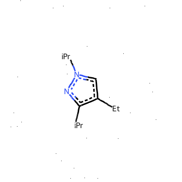 CCc1cn(C(C)C)nc1C(C)C